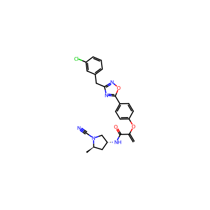 C=C(Oc1ccc(-c2nc(Cc3cccc(Cl)c3)no2)cc1)C(=O)N[C@@H]1C[C@@H](C)N(C#N)C1